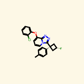 Cc1ccc([C@]2(c3nnc4c(Oc5ccccc5Cl)cccn43)C[C@H](F)C2)cc1